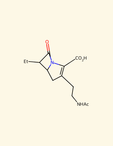 CCC1C(=O)N2C(C(=O)O)=C(CCNC(C)=O)CC12